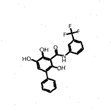 O=C(Nc1cccc(C(F)(F)F)c1)c1c(O)c(O)cc(-c2ccccc2)c1O